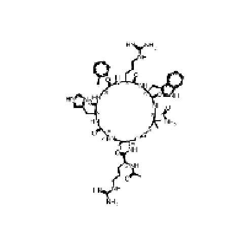 CC(=O)N[C@@H](CCCNC(=N)N)C(=O)N[C@H]1CSSC(C)(C)[C@@H](C(N)=O)NC(=O)[C@H](Cc2c[nH]c3ccccc23)NC(=O)[C@H](CCCNC(=N)N)NC(=O)[C@@H](Cc2ccccc2)NC(=O)[C@H](Cc2c[nH]cn2)NC(=O)[C@@H](C)NC1=O